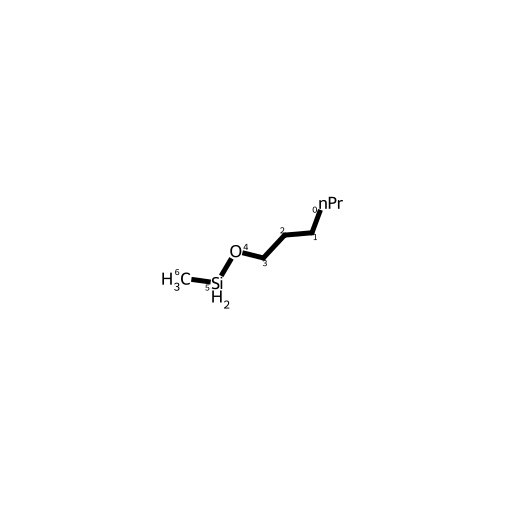 CCCCCCO[SiH2]C